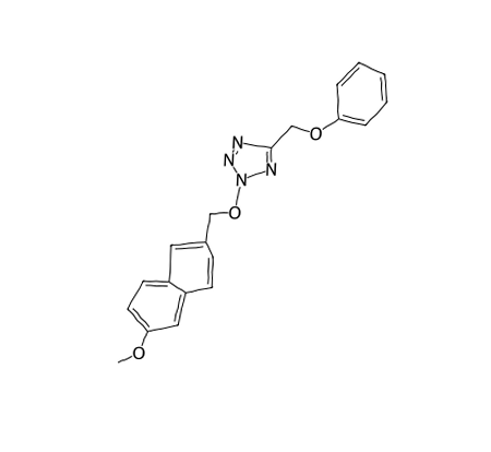 COc1ccc2cc(COn3nnc(COc4ccccc4)n3)ccc2c1